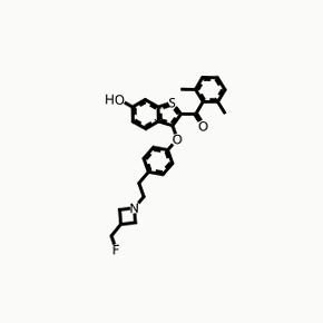 Cc1cccc(C)c1C(=O)c1sc2cc(O)ccc2c1Oc1ccc(CCN2CC(CF)C2)cc1